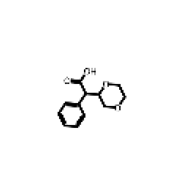 O=C(O)C(c1ccccc1)C1COCCO1